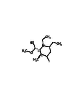 CCC1CC(I)[C@@H](C)[C@H](C(O)OC)N1CC